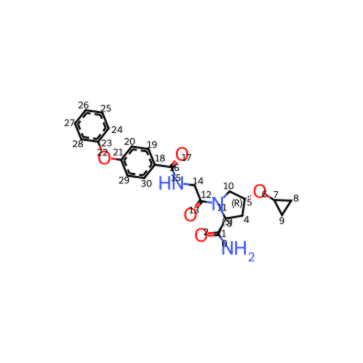 NC(=O)[C@@H]1C[C@@H](OC2CC2)CN1C(=O)CNC(=O)c1ccc(Oc2ccccc2)cc1